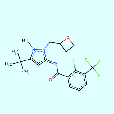 Cn1c(C(C)(C)C)cc(=NC(=O)c2cccc(C(F)(F)F)c2F)n1CC1CCO1